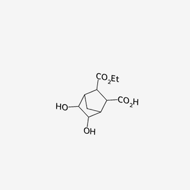 CCOC(=O)C1C2CC(C(O)C2O)C1C(=O)O